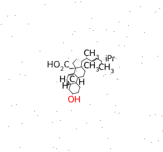 CC(C)[C@H](C)/C=C/[C@@H](C)[C@H]1CC[C@@]2(CC(=O)O)C3=CC[C@H]4C[C@@H](O)CC[C@]4(C)[C@H]3CC[C@]12C